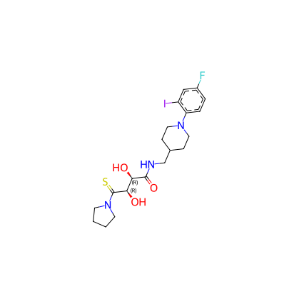 O=C(NCC1CCN(c2ccc(F)cc2I)CC1)[C@H](O)[C@@H](O)C(=S)N1CCCC1